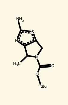 CC1c2nc(N)sc2CN1C(=O)OC(C)(C)C